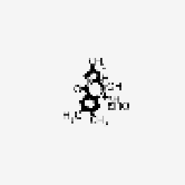 CC1=CN2C(=O)c3cc(C)c(C)cc3N(BC=O)[C@@H](O)[C@@H]2C1